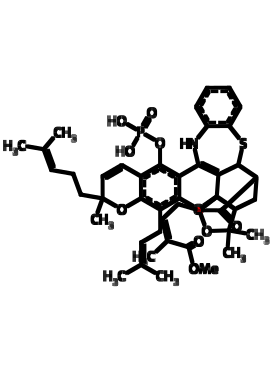 COC(=O)/C(C)=C\CC12OC(C)(C)C3CC(C1=O)C1Sc4ccccc4NC4=C1C32Oc1c(CC=C(C)C)c2c(c(OP(=O)(O)O)c14)C=CC(C)(CCC=C(C)C)O2